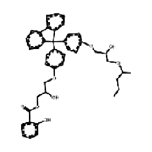 CCCC(C)OCC(O)COc1ccc(C2(c3ccc(OCC(O)COC(=O)c4ccccc4O)cc3)c3ccccc3-c3ccccc32)cc1